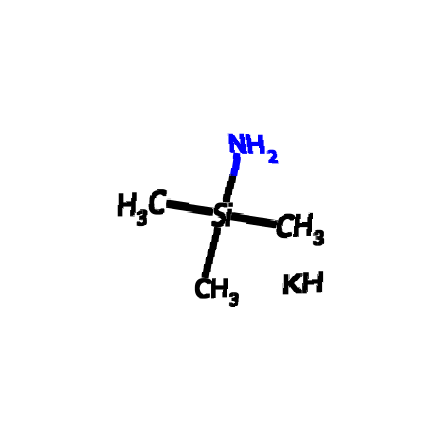 C[Si](C)(C)N.[KH]